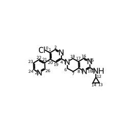 Clc1cnc(N2CCc3nc(NC4CC4)ncc3C2)cc1-c1cccnc1